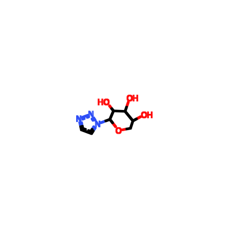 OC1COC(n2ccnn2)C(O)C1O